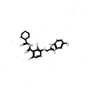 O=C(NC(=O)C1CCCCC1)c1c(F)ccc(OCc2nc3cc(Cl)ccc3s2)c1F